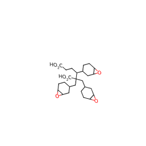 O=C(O)CCC(C1CCC2OC2C1)C(CC1CCC2OC2C1)(CC1CCC2OC2C1)C(=O)O